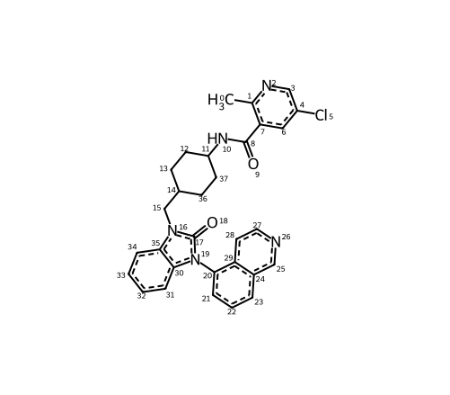 Cc1ncc(Cl)cc1C(=O)NC1CCC(Cn2c(=O)n(-c3cccc4cnccc34)c3ccccc32)CC1